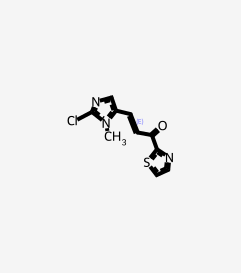 Cn1c(/C=C/C(=O)c2nccs2)cnc1Cl